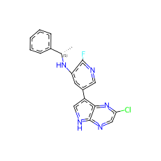 C[C@H](Nc1cc(-c2c[nH]c3ncc(Cl)nc23)cnc1F)c1ccccc1